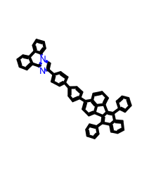 c1ccc(-c2c3c(c(-c4ccccc4)c4ccccc24)-c2ccc(-c4ccc(-c5ccc(-c6cn7c8ccccc8c8ccccc8c7n6)cc5)cc4)c4cccc-3c24)cc1